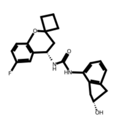 O=C(Nc1cccc2c1C[C@@H](O)C2)N[C@H]1CC2(CCC2)Oc2ccc(F)cc21